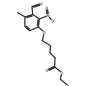 CCOC(=O)CCCCOc1ccc(C)c(C=O)c1[N+](=O)[O-]